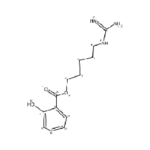 N=C(N)NCCCCCOC(=O)c1ccccc1O